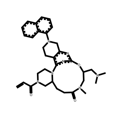 C=CC(=O)N1CCN2c3nc(nc4c3CCN(c3cccc5ccccc35)C4)OC(CN(C)C)CN(C)C(=O)CCC2C1